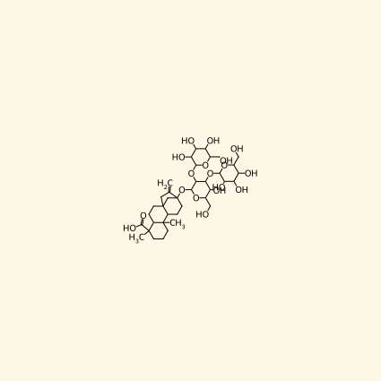 C=C1CC23CCC4C(C)(C(=O)O)CCCC4(C)C2CCC1(OC1OC(CO)C(O)C(OC2OC(CO)C(O)C(O)C2O)C1OC1OC(CO)C(O)C(O)C1O)C3